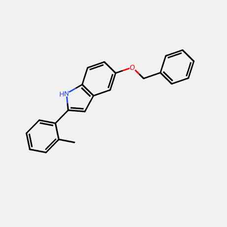 Cc1ccccc1-c1cc2cc(OCc3ccccc3)ccc2[nH]1